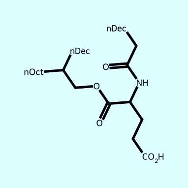 CCCCCCCCCCCC(=O)NC(CCC(=O)O)C(=O)OCC(CCCCCCCC)CCCCCCCCCC